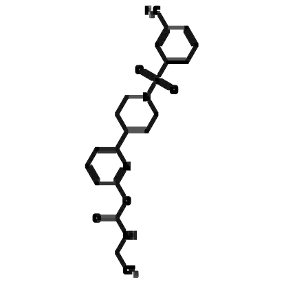 O=C(NCC(F)(F)F)Oc1cccc(C2=CCN(S(=O)(=O)c3cccc(C(F)(F)F)c3)CC2)n1